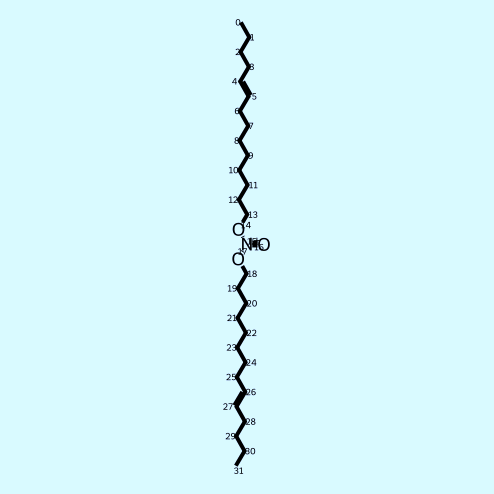 CCCCC=CCCCCCCCCO[N+](=O)OCCCCCCCCC=CCCCC